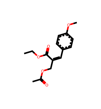 CCOC(=O)C(=Cc1ccc(OC)cc1)COC(C)=O